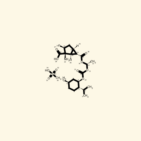 CC(C)[C@@H]1CC[C@@H](C)C[C@H]1OC(=O)O[C@@H](C)OC(=O)[C@H]1[C@@H]2C[C@H](F)[C@@](N)(C(=O)O)[C@@H]21.CS(=O)(=O)O